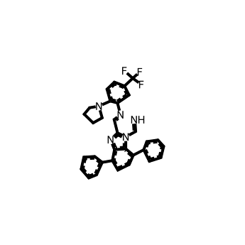 N=Cn1c(/C=N/c2cc(C(F)(F)F)ccc2N2CCCC2)nc2c(-c3ccccc3)ccc(-c3ccccc3)c21